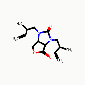 C=CC(C)CN1C(=O)N(CC(C)C=C)C2C(=O)OCC21